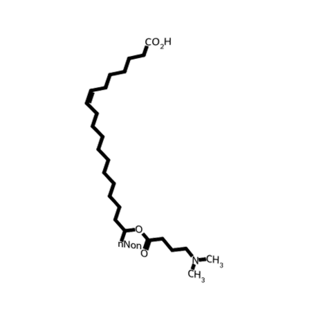 CCCCCCCCCC(CCCCCCCCCC/C=C\CCCCCC(=O)O)OC(=O)CCCN(C)C